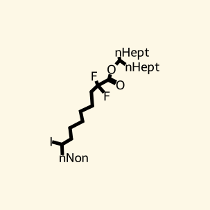 CCCCCCCCCC(I)CCCCCCC(F)(F)C(=O)OC(CCCCCCC)CCCCCCC